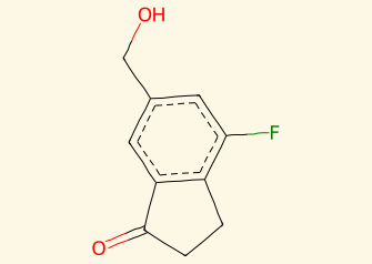 O=C1CCc2c(F)cc(CO)cc21